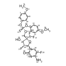 COc1ccc(OP(=S)(OC[C@@]2(C(F)F)O[C@@H](n3cc(F)c(N)nc3=O)[C@@H](F)[C@@H]2O)Oc2ccc(OC)cc2)cc1